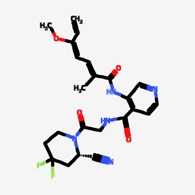 C=C/C(=C\C=C(/C)C(=O)Nc1cnccc1C(=O)NCC(=O)N1CCC(F)(F)C[C@H]1C#N)OC